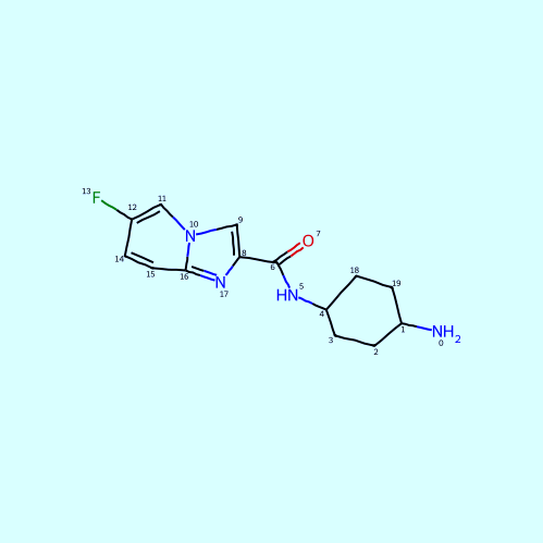 NC1CCC(NC(=O)c2cn3cc(F)ccc3n2)CC1